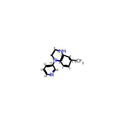 FC(F)(F)c1ccc2c(c1)NCCN2c1cccnc1